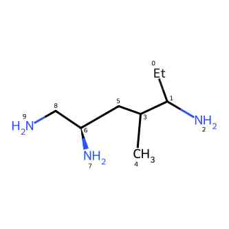 CCC(N)C(C)C[C@@H](N)CN